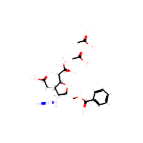 CC(=O)O.CC(=O)O.[N-]=[N+]=N[C@H]1[C@@H](COC(=O)c2ccccc2)OC(CC(=O)O)[C@@H]1CC(=O)O